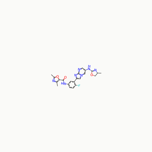 Cc1nc(C)c(C(=O)Nc2ccc(F)c(-c3cn4cc(NC5=NC(C)CO5)cnc4n3)c2)o1